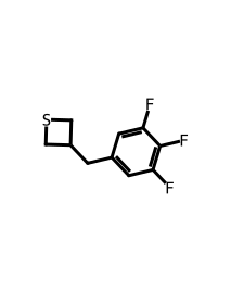 Fc1cc(CC2CSC2)cc(F)c1F